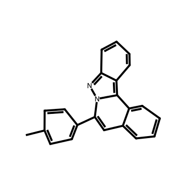 Cc1ccc(-c2cc3ccccc3c3c4ccccc4nn23)cc1